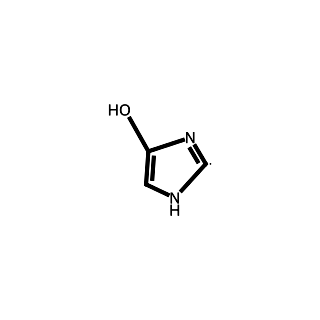 Oc1c[nH][c]n1